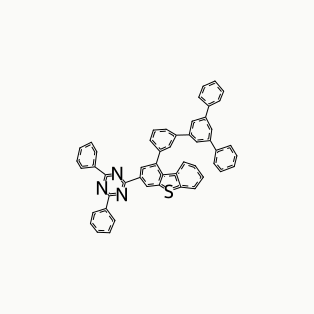 c1ccc(-c2cc(-c3ccccc3)cc(-c3cccc(-c4cc(-c5nc(-c6ccccc6)nc(-c6ccccc6)n5)cc5sc6ccccc6c45)c3)c2)cc1